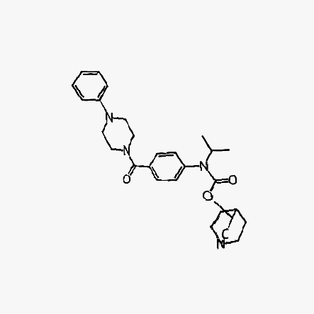 CC(C)N(C(=O)OC1CN2CCC1CC2)c1ccc(C(=O)N2CCN(c3ccccc3)CC2)cc1